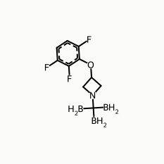 BC(B)(B)N1CC(Oc2c(F)ccc(F)c2F)C1